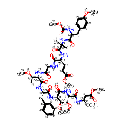 CC[C@](C)(NC(=O)[C@H](Cc1ccc(OC(C)(C)C)cc1)NC(=O)OC(C)(C)C)C(=O)N[C@@H](CCC(=O)OC(C)(C)C)C(=O)NCC(=O)N[C@H](C(=O)N[C@@H](Cc1ccccc1)C(=O)N[C@H](C(=O)N[C@@H](COC(C)(C)C)C(=O)N[C@@H](CC(=O)OC(C)(C)C)C(=O)O)[C@@H](C)OC(C)(C)C)[C@@H](C)OC(C)(C)C